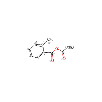 CC(C)(C)C(=O)OC(=O)c1ccccc1C(F)(F)F